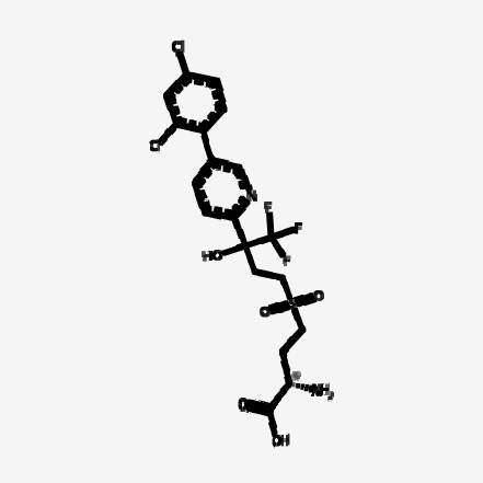 N[C@@H](CCS(=O)(=O)CCC(O)(c1ccc(-c2ccc(Cl)cc2Cl)cn1)C(F)(F)F)C(=O)O